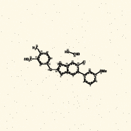 COc1cccc(-c2cc3nc(Oc4ccc(C)c(C(=O)O)c4)[nH]c3cc2Cl)n1.O=CO